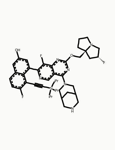 CC(C)[Si](C#Cc1c(F)ccc2cc(O)cc(-c3ncc4c(N5CC6CNCC(C6)C5)nc(OC[C@@]56CCCN5C[C@H](F)C6)nc4c3F)c12)(C(C)C)C(C)C